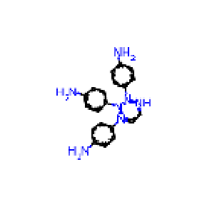 Nc1ccc(-n2cc[nH]n(-c3ccc(N)cc3)n2-c2ccc(N)cc2)cc1